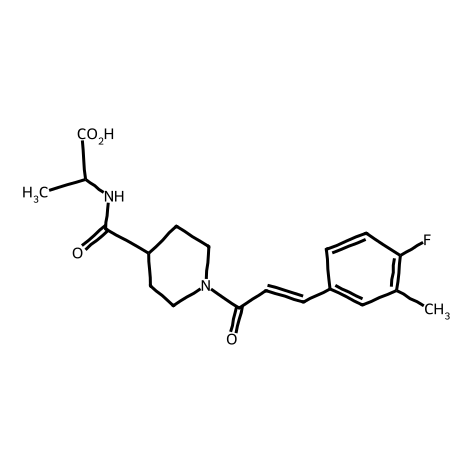 Cc1cc(C=CC(=O)N2CCC(C(=O)NC(C)C(=O)O)CC2)ccc1F